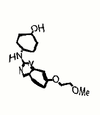 COCCOc1ccc2cnc(N[C@H]3CC[C@H](O)CC3)nc2c1